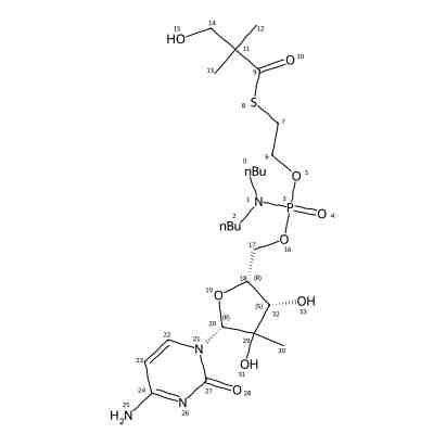 CCCCN(CCCC)P(=O)(OCCSC(=O)C(C)(C)CO)OC[C@H]1O[C@@H](n2ccc(N)nc2=O)C(C)(O)[C@H]1O